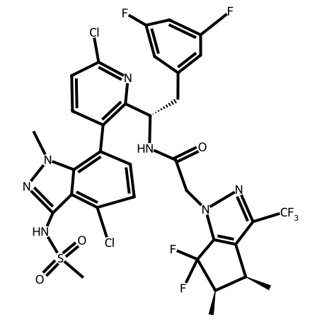 C[C@@H]1c2c(C(F)(F)F)nn(CC(=O)N[C@@H](Cc3cc(F)cc(F)c3)c3nc(Cl)ccc3-c3ccc(Cl)c4c(NS(C)(=O)=O)nn(C)c34)c2C(F)(F)[C@@H]1C